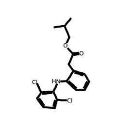 CC(C)COC(=O)Cc1ccccc1Nc1c(Cl)cccc1Cl